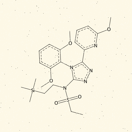 CCS(=O)(=O)N(CC[Si](C)(C)C)c1nnc(-c2cccc(OC)n2)n1-c1c(OC)cccc1OC